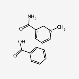 CN1C=CC=C(C(N)=O)C1.O=C(O)c1ccccc1